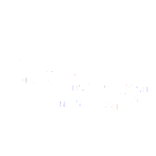 Cc1sc(C(=O)c2cncnc2N[C@@H]2C[C@H](COS(N)(=O)=O)[C@@H](O)C2)cc1[C@H]1OCCc2oc(Cl)cc21